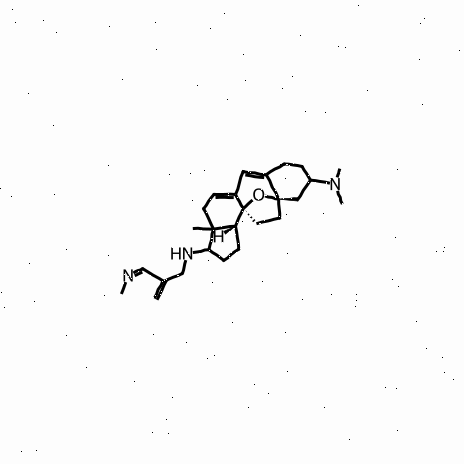 C=C(/C=N\C)CNC1CC[C@@H]2C1(C)CC=C1C=C3CCC(N(C)C)C[C@]34CC[C@@]12O4